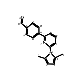 Cc1ccc(C)n1-c1cccc(-c2ccc(C=O)cc2)n1